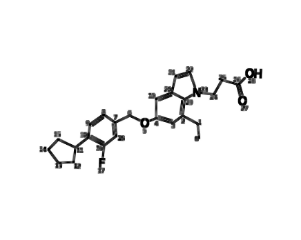 CCc1cc(OCc2ccc(C3CCCC3)c(F)c2)cc2ccn(CCC(=O)O)c12